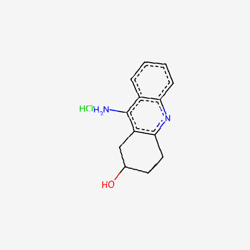 Cl.Nc1c2c(nc3ccccc13)CCC(O)C2